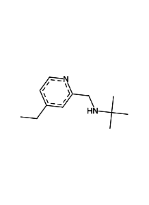 CCc1ccnc(CNC(C)(C)C)c1